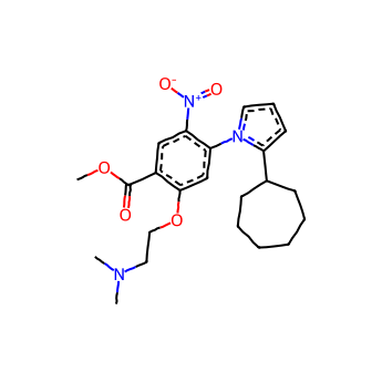 COC(=O)c1cc([N+](=O)[O-])c(-n2cccc2C2CCCCCC2)cc1OCCN(C)C